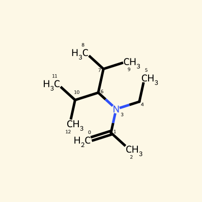 C=C(C)N(CC)C(C(C)C)C(C)C